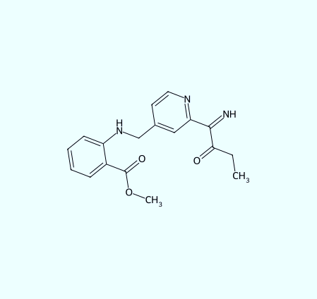 CCC(=O)C(=N)c1cc(CNc2ccccc2C(=O)OC)ccn1